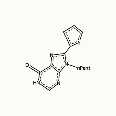 CCCCCn1c(-c2cccs2)nc2c(=O)[nH]cnc21